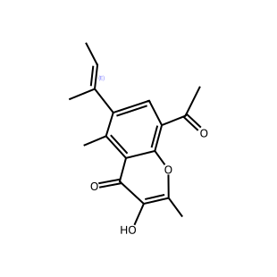 C/C=C(\C)c1cc(C(C)=O)c2oc(C)c(O)c(=O)c2c1C